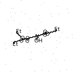 CC/C=C\CCCCCOC(=O)OCCCCCN(CCO)CCCCCCOC(=O)CCC(OCCCC/C=C\CC)OCCCC/C=C\CC